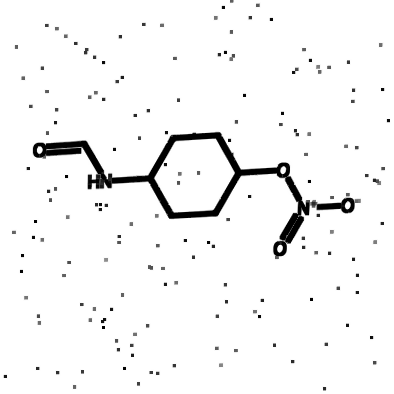 O=CNC1CCC(O[N+](=O)[O-])CC1